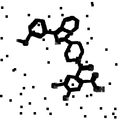 COc1cccc(-c2nc(C3CCN(C(=O)c4cc(Cl)c(Cl)cc4C(=O)O)CC3)n3ccccc23)c1